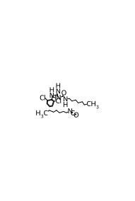 CCCCCCCN=C=O.CCCCCCCNC(=O)NC(=N)Nc1c(Cl)cccc1Cl